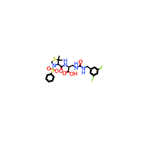 CC1(C)SCN(S(=O)(=O)c2ccccc2)C1C(=O)NC(CNC(=O)NCc1cc(F)cc(F)c1)C(=O)O